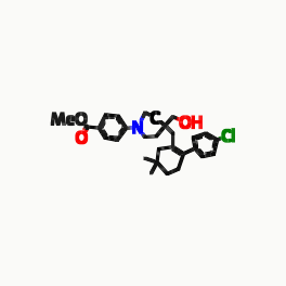 COC(=O)c1ccc(N2CCC(CO)(CC3=C(c4ccc(Cl)cc4)CCC(C)(C)C3)CC2)cc1